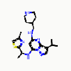 Cc1csc(C(C)Nc2cc(NCC3CCNCC3)nc3c(C(C)C)cnn23)n1